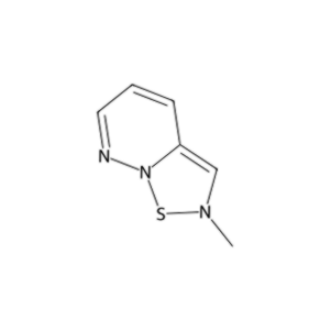 CN1C=C2C=CC=NN2S1